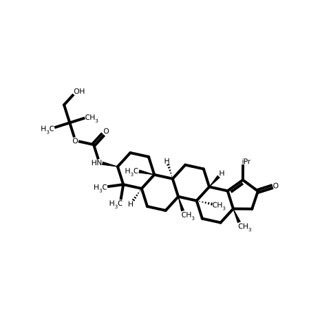 CC(C)C1=C2[C@H]3CC[C@@H]4[C@@]5(C)CC[C@H](NC(=O)OC(C)(C)CO)C(C)(C)[C@@H]5CC[C@@]4(C)[C@]3(C)CC[C@@]2(C)CC1=O